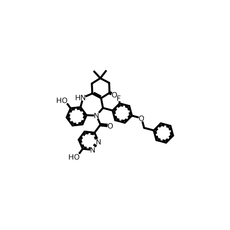 CC1(C)CC(=O)C2=C(C1)Nc1c(O)cccc1N(C(=O)c1ccc(O)nn1)C2c1ccc(OCc2ccccc2)cc1F